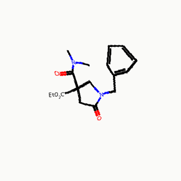 CCOC(=O)C1(C(=O)N(C)C)CC(=O)N(Cc2ccccc2)C1